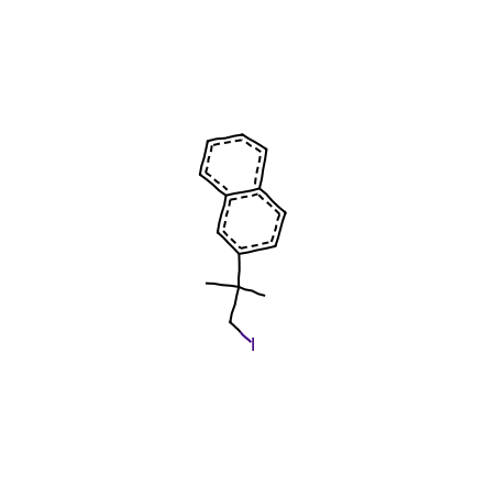 CC(C)(CI)c1ccc2ccccc2c1